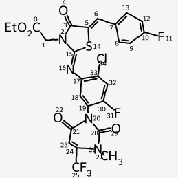 CCOC(=O)CN1C(=O)/C(=C/c2ccc(F)cc2)S/C1=N\c1cc(-n2c(=O)cc(C(F)(F)F)n(C)c2=O)c(F)cc1Cl